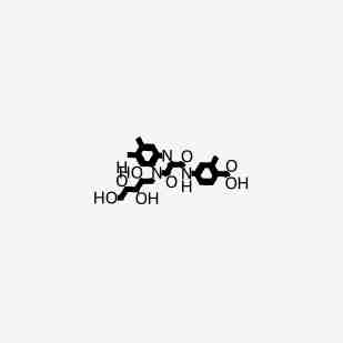 Cc1cc2nc(C(=O)Nc3ccc(C(=O)O)c(C)c3)c(=O)n(C[C@H](O)[C@H](O)[C@H](O)CO)c2cc1C